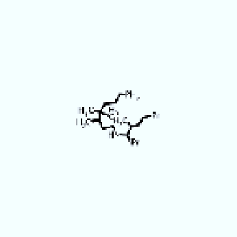 C=C(CCNC(C(C)C)C(C)CCC(C)C)C(C)(C)CCCP